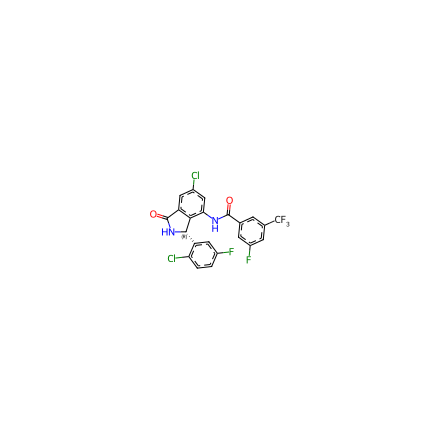 O=C(Nc1cc(Cl)cc2c1[C@H](c1cc(F)ccc1Cl)NC2=O)c1cc(F)cc(C(F)(F)F)c1